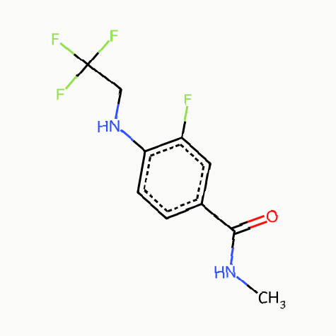 CNC(=O)c1ccc(NCC(F)(F)F)c(F)c1